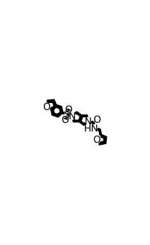 O=C(NCc1ccco1)N1CC2=C(C1)CN(S(=O)(=O)c1ccc3occc3c1)C2